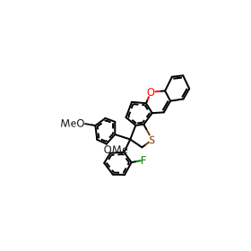 COc1ccc(C2(c3ccccc3F)CSc3c2ccc2c3C=C3C=CC=CC3O2)c(OC)c1